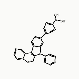 OB(O)c1ccc(-c2ccc3c4c5ccccc5ccc4n(-c4ccccc4)c3c2)cc1